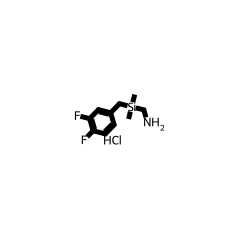 C[Si](C)(CN)Cc1ccc(F)c(F)c1.Cl